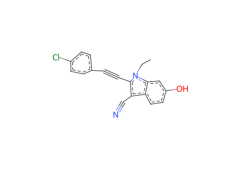 CCn1c(C#Cc2ccc(Cl)cc2)c(C#N)c2ccc(O)cc21